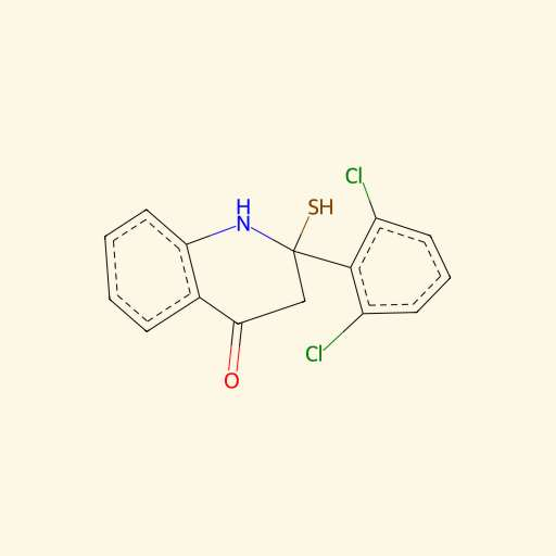 O=C1CC(S)(c2c(Cl)cccc2Cl)Nc2ccccc21